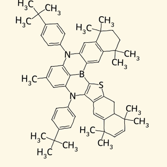 Cc1cc2c3c(c1)N(c1ccc(C(C)(C)C)cc1)c1c(sc4c1C=C1C(C4)C(C)(C)C=CC1(C)C)B3c1cc3c(cc1N2c1ccc(C(C)(C)C)cc1)C(C)(C)CCC3(C)C